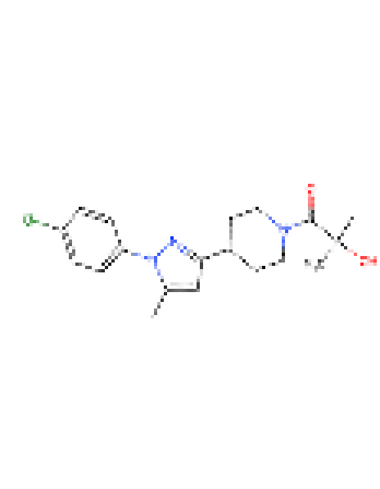 Cc1cc(C2CCN(C(=O)[C@@](C)(O)C(F)(F)F)CC2)nn1-c1ccc(Cl)cc1